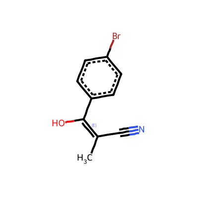 C/C(C#N)=C(\O)c1ccc(Br)cc1